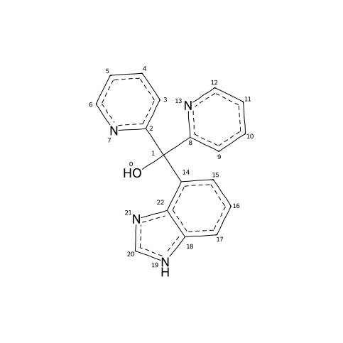 OC(c1ccccn1)(c1ccccn1)c1cccc2[nH]cnc12